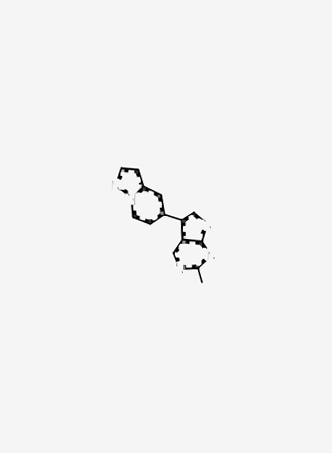 Cc1ncc2c(-c3ccn4nccc4c3)c[nH]c2n1